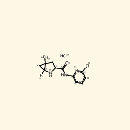 C[C@@]12C[C@@H](C(=O)Nc3cccc(Cl)n3)N[C@@H]1C2.Cl